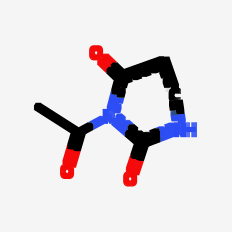 CC(=O)n1c(=O)cc[nH]c1=O